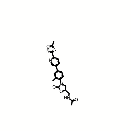 CC(=O)NCC1CN(c2ccc(-c3ccc(-c4noc(C)n4)nc3)cc2C)C(=O)O1